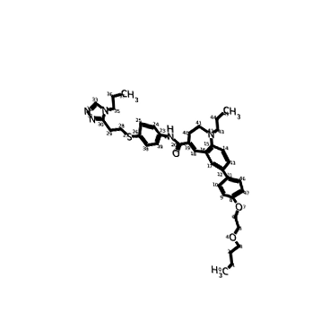 CCCCOCCOc1ccc(-c2ccc3c(c2)C=C(C(=O)Nc2ccc(SCCc4nncn4CCC)cc2)CCN3CCC)cc1